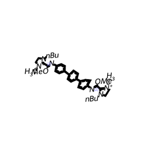 CCCCN1CC[N+](C)=C1/C(=N/c1ccc(-c2ccc(-c3ccc(/N=C(\OC)C4=[N+](C)CCN4CCCC)cc3)cc2)cc1)OC